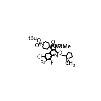 CONc1c(OCC2CCCN2C)nc2c(F)c(Br)c(Cl)cc2c1C1(C(=O)OC)CCN(C(=O)OC(C)(C)C)CC1